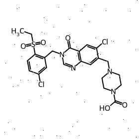 CCS(=O)(=O)c1ccc(Cl)cc1Cn1cnc2cc(CN3CCN(C(=O)O)CC3)c(Cl)cc2c1=O